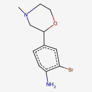 CN1CCOC(c2ccc(N)c(Br)c2)C1